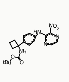 CC(C)(C)OC(=O)NC1(c2ccc(Nc3nccnc3[N+](=O)[O-])cc2)CCC1